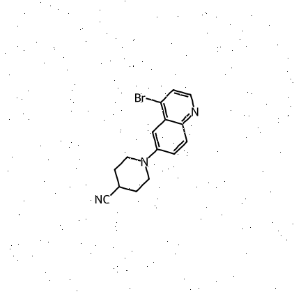 N#CC1CCN(c2ccc3nccc(Br)c3c2)CC1